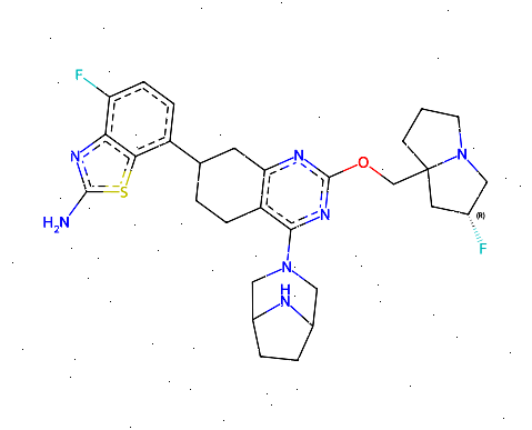 Nc1nc2c(F)ccc(C3CCc4c(nc(OCC56CCCN5C[C@H](F)C6)nc4N4CC5CCC(C4)N5)C3)c2s1